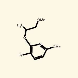 COCC(C)Oc1nc(OC)ccc1C(C)C